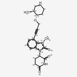 C[C@H]1CNCC[C@@H]1OCC#Cc1cccc2c1n(C)c(=O)n2C1CCC(=O)NC1=O